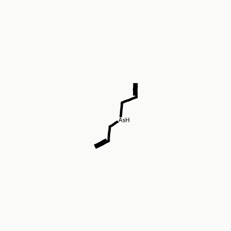 C=CC[AsH]CC=C